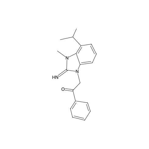 CC(C)c1cccc2c1n(C)c(=N)n2CC(=O)c1ccccc1